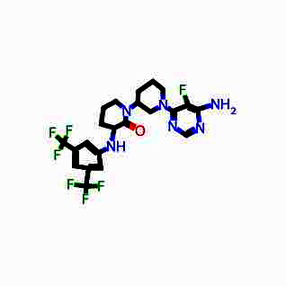 Nc1ncnc(N2CCCC(N3CCCC(Nc4cc(C(F)(F)F)cc(C(F)(F)F)c4)C3=O)C2)c1F